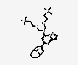 BN1C2C=C(c3cc(N(COCC[Si](C)(C)C)COCC[Si](C)(C)C)n4nccc4n3)CC1CCC2